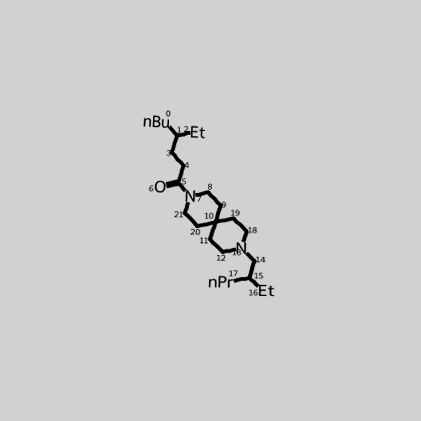 CCCCC(CC)CCC(=O)N1CCC2(CCN(CC(CC)CCC)CC2)CC1